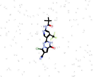 CC(C)(C)C(=O)Nc1cc(C(F)(F)F)c(-c2nn3c(Cl)c(C#N)cc3c(=O)[nH]2)cn1